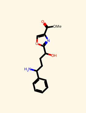 COC(=O)c1coc(C(O)CCC(N)c2ccccc2)n1